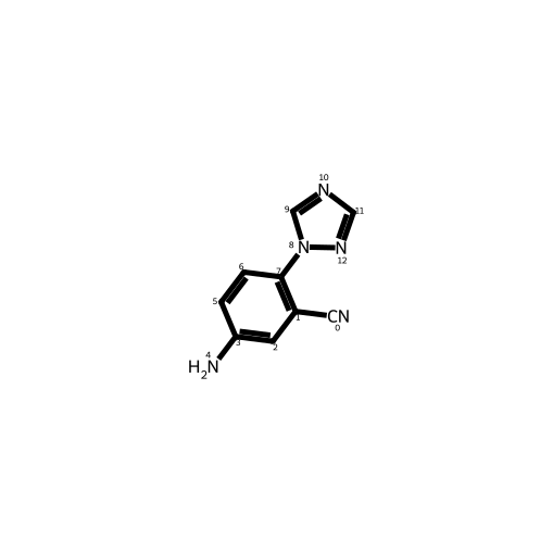 N#Cc1cc(N)ccc1-n1cncn1